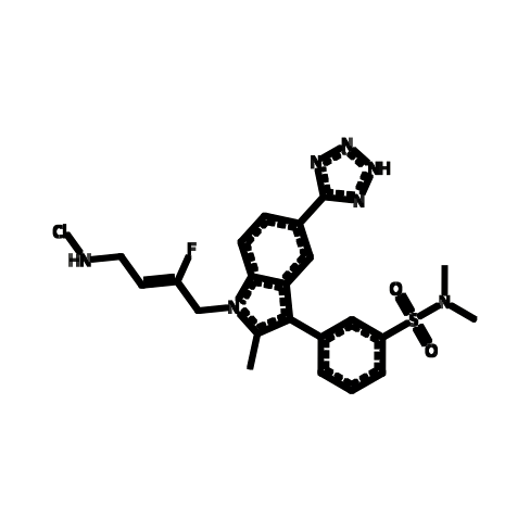 Cc1c(-c2cccc(S(=O)(=O)N(C)C)c2)c2cc(-c3nn[nH]n3)ccc2n1C/C(F)=C/CNCl